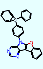 c1ccc([Si]2(c3ccc(-n4c5cncnc5c5c6ccccc6oc54)cc3)c3ccccc32)cc1